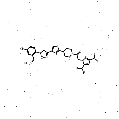 O=C(Cn1nc(C(F)F)cc1C(F)F)N1CCC(c2nc(C3=NOC(c4ccc(Cl)cc4CS(=O)(=O)O)C3)cs2)CC1